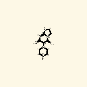 O=C1N=C2SCCN2C(=O)C1N1CCNCC1